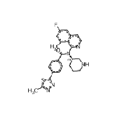 Cc1nnc(-c2ccc(C(=O)N(c3nccc4cc(F)cc(C)c34)[C@@H]3CCCNC3)cc2)s1